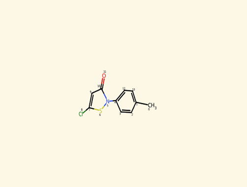 Cc1ccc(-n2sc(Cl)cc2=O)cc1